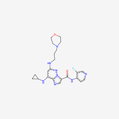 O=C(Nc1ccncc1F)c1cnc2c(NC3CC3)cc(NCCCN3CCOCC3)nn12